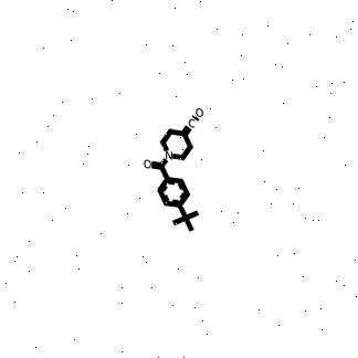 CC(C)(C)c1ccc(C(=O)N2CCC(=C=O)CC2)cc1